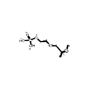 COC(C)COCCOP(=O)(O)O